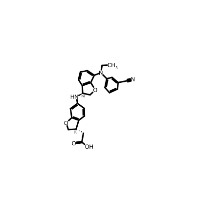 CCN(c1cccc(C#N)c1)c1cccc2c1OC[C@H]2Nc1ccc2c(c1)OC[C@H]2CC(=O)O